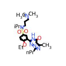 CCCc1nc(C)c2c(=O)[nH]c(-c3cc(S(=O)(=O)N(CCCN(C)C)C(C)C)ccc3OCC)nn12